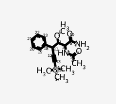 COC(C(NC(C)=O)C(N)=O)C(C#C[Si](C)(C)C)c1ccccc1